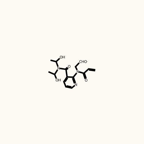 C=CC(=O)N(C[C]=O)c1ncccc1C(=O)N(C(C)O)C(C)O